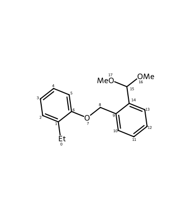 CCc1ccccc1OCc1ccccc1C(OC)OC